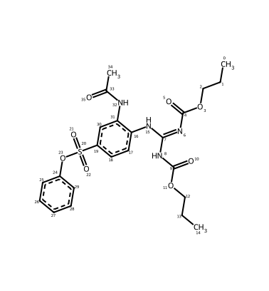 CCCOC(=O)/N=C(/NC(=O)OCCC)Nc1ccc(S(=O)(=O)Oc2ccccc2)cc1NC(C)=O